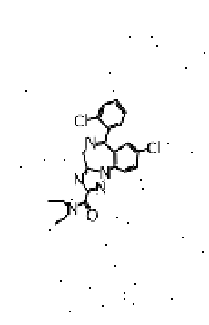 CCN(CC)C(=O)c1nc2n(n1)-c1ccc(Cl)cc1C(c1ccccc1Cl)=NC2